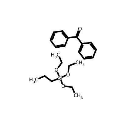 CCC[Si](OCC)(OCC)OCC.O=C(c1ccccc1)c1ccccc1